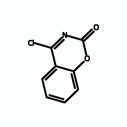 O=c1nc(Cl)c2ccccc2o1